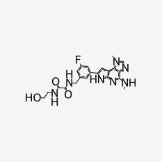 CNc1nc2[nH]c(-c3cc(F)cc(CNC(=O)C(=O)NCCO)c3)cc2c2c1ncn2C